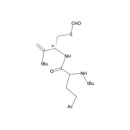 C=C([C@H](CSC=O)NC(=O)C(CCC(C)=O)NC(C)(C)C)C(C)(C)C